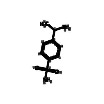 BC(C)c1ccc(S(N)(=O)=O)cc1